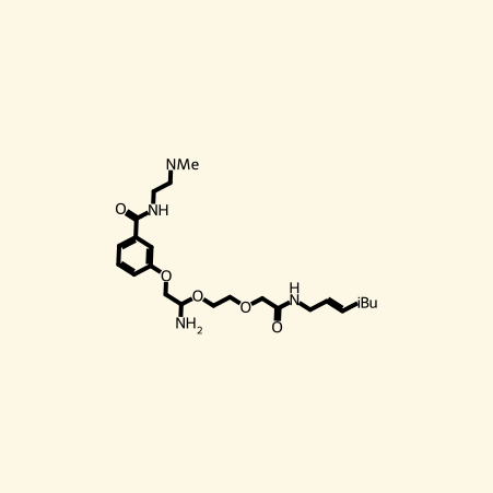 CCC(C)/C=C/CNC(=O)COCCOC(N)COc1cccc(C(=O)NCCNC)c1